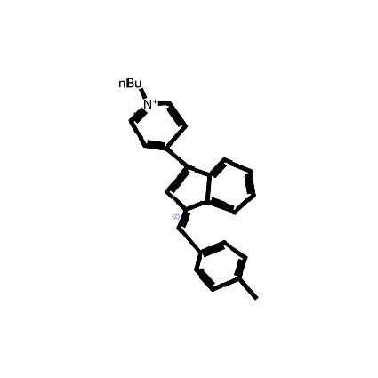 CCCC[n+]1ccc(C2=C/C(=C/c3ccc(C)cc3)c3ccccc32)cc1